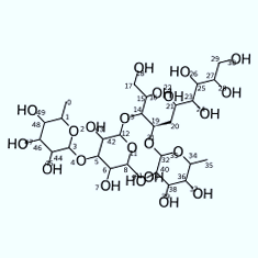 CC1OC(OC2C(O)C(CO)OC(OC(C(O)CO)[C@@H](CC(O)C(O)C(O)C(O)CO)OC3OC(C)C(O)C(O)C3O)C2O)C(O)C(O)C1O